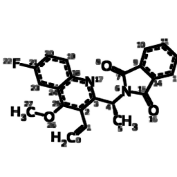 C=Cc1c([C@H](C)N2C(=O)c3ccccc3C2=O)nc2ccc(F)cc2c1OC